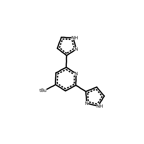 CC(C)(C)c1cc(-c2cc[nH]n2)nc(-c2cc[nH]n2)c1